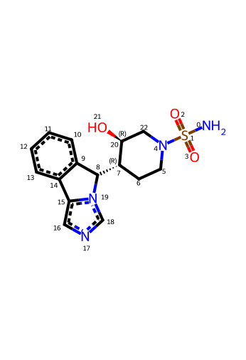 NS(=O)(=O)N1CC[C@H](C2c3ccccc3-c3cncn32)[C@@H](O)C1